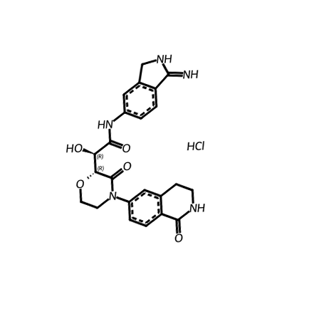 Cl.N=C1NCc2cc(NC(=O)[C@H](O)[C@H]3OCCN(c4ccc5c(c4)CCNC5=O)C3=O)ccc21